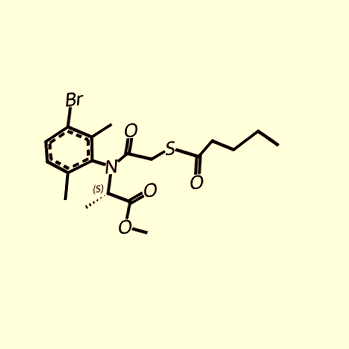 CCCCC(=O)SCC(=O)N(c1c(C)ccc(Br)c1C)[C@@H](C)C(=O)OC